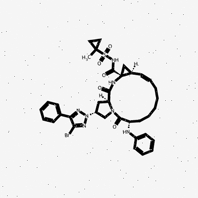 CC1(S(=O)(=O)NC(=O)[C@@]23C[C@H]2/C=C\CCCCC[C@H](Nc2ccccc2)C(=O)N2C[C@H](n4nc(Br)c(-c5ccccc5)n4)C[C@H]2C(=O)N3)CC1